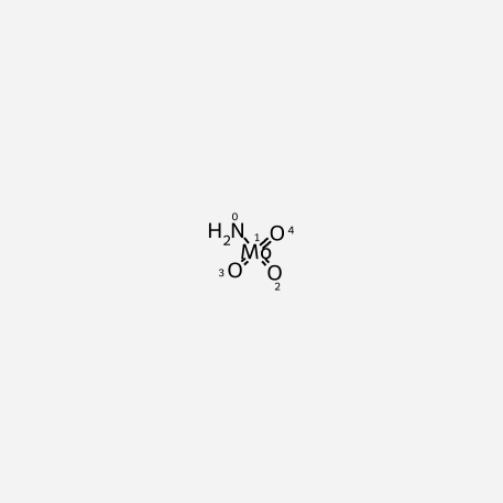 [NH2][Mo](=[O])(=[O])=[O]